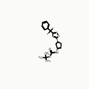 CC(C)(C)OC(=O)N[C@H]1CC[C@H](c2nc(C(F)(F)c3ccccc3)no2)C1